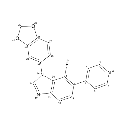 Fc1c(-c2ccncc2)ccc2ncn(-c3ccc4c(c3)OCO4)c12